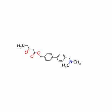 C=CC(=O)CC(=O)OCc1ccc(-c2ccc(CN(C)C)cc2)cc1